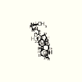 Cc1nnnn1CC(=O)[C@H]1CC[C@H]2[C@@H]3CC[C@H]4C5C[C@@]5(O)CC[C@@H]4[C@H]3CC[C@]12C